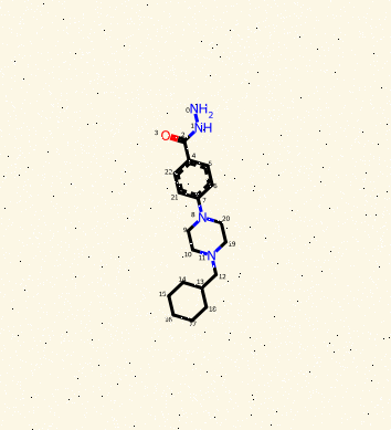 NNC(=O)c1ccc(N2CCN(CC3CCCCC3)CC2)cc1